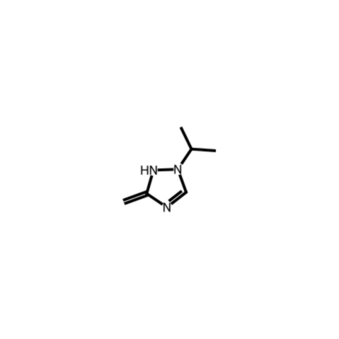 C=C1N=CN(C(C)C)N1